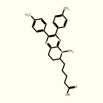 Cc1ccc(-c2nc3c(nc2-c2ccc(C)cc2)N(C)C(CCCCC(=O)O)CC3)cc1